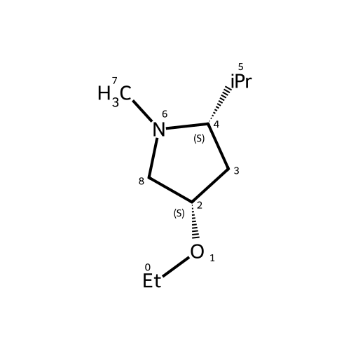 CCO[C@H]1C[C@@H](C(C)C)N(C)C1